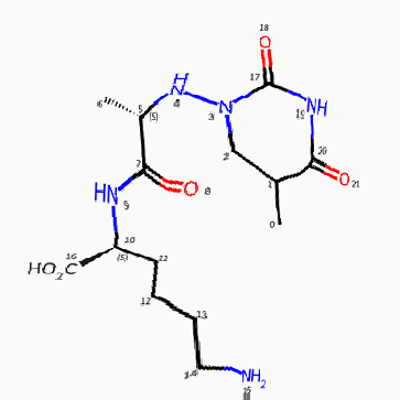 CC1CN(N[C@@H](C)C(=O)N[C@@H](CCCCN)C(=O)O)C(=O)NC1=O